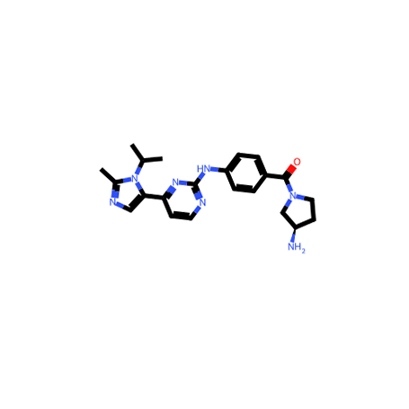 Cc1ncc(-c2ccnc(Nc3ccc(C(=O)N4CC[C@@H](N)C4)cc3)n2)n1C(C)C